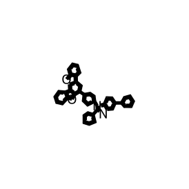 c1ccc(-c2ccc3c(c2)nc(-c2ccccc2)n3-c2ccc(-c3cc4c5ccccc5oc4c4c3oc3ccccc34)cc2)cc1